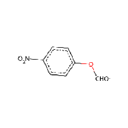 O=[C]Oc1ccc([N+](=O)[O-])cc1